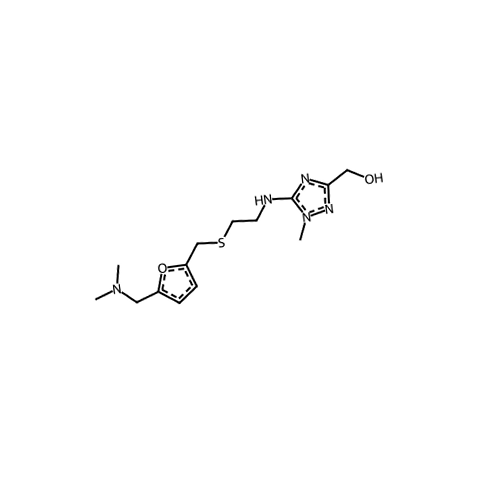 CN(C)Cc1ccc(CSCCNc2nc(CO)nn2C)o1